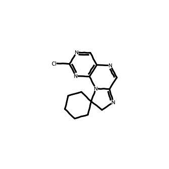 Clc1ncc2c(n1)N1C(=NCC13CCCCC3)C=N2